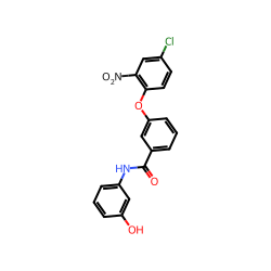 O=C(Nc1cccc(O)c1)c1cccc(Oc2ccc(Cl)cc2[N+](=O)[O-])c1